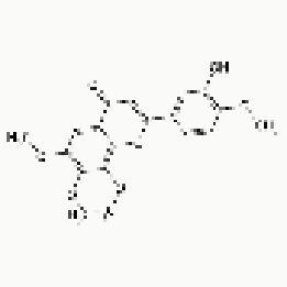 COc1ccc(-c2cc(=O)c3cc(OC)c(OC)c(OC)c3o2)cc1O